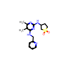 Cc1nc(NC2CCS(=O)(=O)C2)nc(NCc2ccccn2)c1C